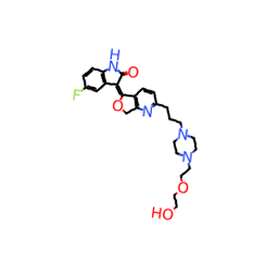 O=C1Nc2ccc(F)cc2C1=C1OCc2nc(CCCN3CCN(CCOCCO)CC3)ccc21